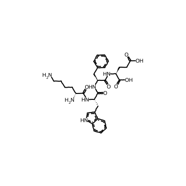 NCCCC[C@@H](N)C(=O)N[C@@H](Cc1c[nH]c2ccccc12)C(=O)N[C@@H](Cc1ccccc1)C(=O)N[C@@H](CCC(=O)O)C(=O)O